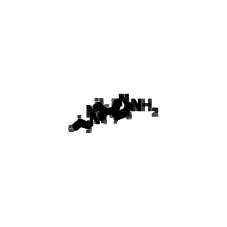 CCCn1cc(-c2ccc(N)nc2)cn1